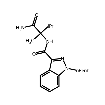 CCCCCn1nc(C(=O)NC(C)(C(N)=O)C(C)C)c2ccccc21